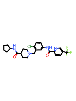 O=C(Nc1ccc(Cl)c(CN2CCC(C(=O)NC3CCCC3)CC2)c1)c1ccc(C(F)(F)F)cn1